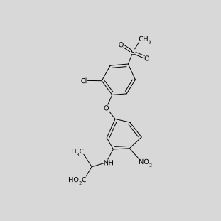 CC(Nc1cc(Oc2ccc(S(C)(=O)=O)cc2Cl)ccc1[N+](=O)[O-])C(=O)O